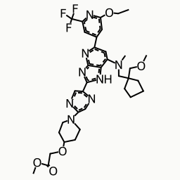 CCOc1cc(-c2cc(N(C)CC3(COC)CCCC3)c3[nH]c(-c4cnc(N5CCC(OCC(=O)OC)CC5)cn4)nc3n2)cc(C(F)(F)F)n1